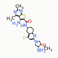 COC1CN(c2cc(F)c3c(n2)CCC(NC(=O)c2sc4nc(C)nc(C)c4c2N)C3)CC1N